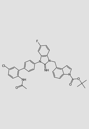 CC(=O)Nc1ccc(Cl)cc1-c1ccc(-n2c(=N)n(Cc3cccc4c3ccn4C(=O)OC(C)(C)C)c3ccc(F)cc32)cc1